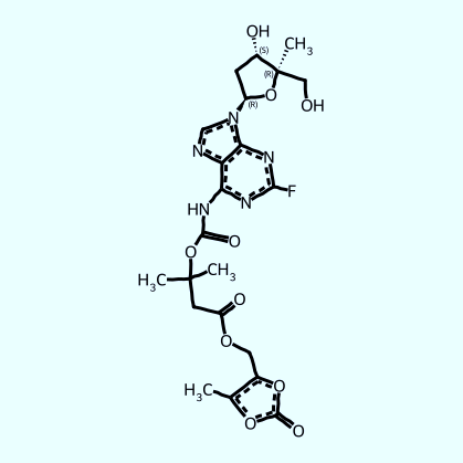 Cc1oc(=O)oc1COC(=O)CC(C)(C)OC(=O)Nc1nc(F)nc2c1ncn2[C@H]1C[C@H](O)[C@@](C)(CO)O1